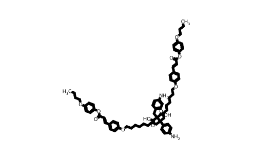 CCCCOc1ccc(OC(=O)C=Cc2ccc(OCCCCCCCCC(CCCCCCCCOc3ccc(C=CC(=O)Oc4ccc(OCCCC)cc4)cc3)(c3ccc(N)cc3)C(Cc3ccc(N)cc3)(C(=O)O)C(=O)O)cc2)cc1